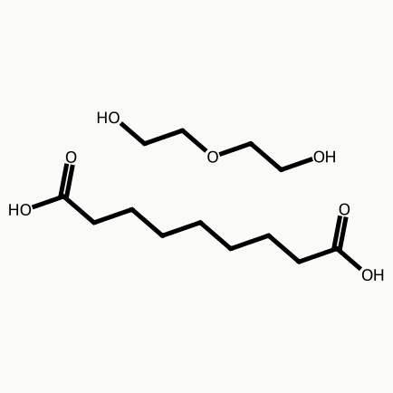 O=C(O)CCCCCCCC(=O)O.OCCOCCO